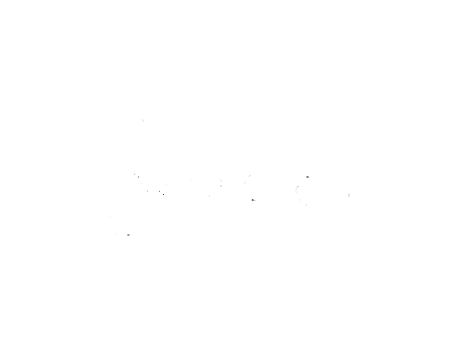 Brc1ccc(-c2ccc(-c3ccc(-c4cc(C5C=CC=CC5)nc(-c5ccccc5)n4)cc3)cc2)cc1